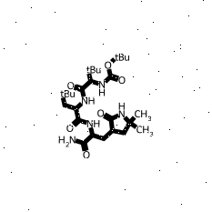 CC(C)(C)CC(NC(=O)C(NC(=O)OC(C)(C)C)C(C)(C)C)C(=O)NC(CC1CC(C)(C)NC1=O)C(N)=O